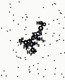 C=CC(=C\N(C)N)/C(/C=N\C(=C)N(Cc1cc(C(F)(F)F)cc(C(F)(F)F)c1)[C@H]1C[C@@H](CC)N(/C(N)=C(Cl)/C=N\C(=C)N2CCC(C(=O)O)CC2)C1)=C/N